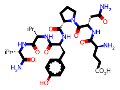 CC(C)[C@H](NC(=O)[C@@H](NC(=O)[C@H](Cc1ccc(O)cc1)NC(=O)[C@@H]1CCCN1C(=O)[C@H](CC(N)=O)NC(=O)[C@@H](N)CCC(=O)O)C(C)C)C(N)=O